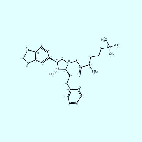 CCCCN(CCC[N+](C)(C)C)C(=O)CN1C[C@H](c2ccc3c(c2)OCO3)[C@@H](C(=O)O)[C@@H]1CCc1ncccn1